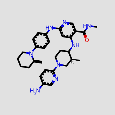 C=C1CCCCN1c1ccc(Nc2cc(NC3CCN(c4ccc(N)cn4)C[C@@H]3C)c(C(=O)NC)cn2)cc1